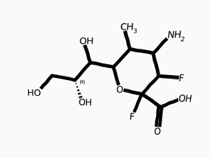 CC1C(N)C(F)C(F)(C(=O)O)OC1C(O)[C@H](O)CO